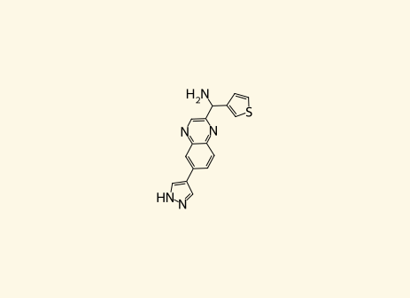 NC(c1ccsc1)c1cnc2cc(-c3cn[nH]c3)ccc2n1